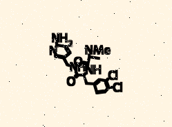 CNC(C)C(=O)N[C@@H](Cc1ccc(Cl)c(Cl)c1)C(=O)NCc1ccc(N)nc1